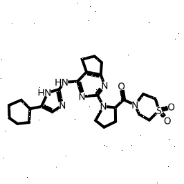 O=C(C1CCCN1c1nc2c(c(Nc3ncc(C4CCCCC4)[nH]3)n1)CCC2)N1CCS(=O)(=O)CC1